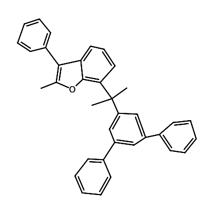 Cc1oc2c(C(C)(C)c3cc(-c4ccccc4)cc(-c4ccccc4)c3)cccc2c1-c1ccccc1